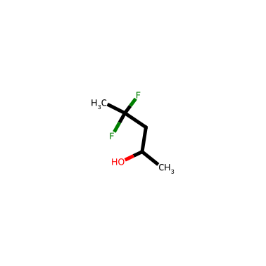 CC(O)CC(C)(F)F